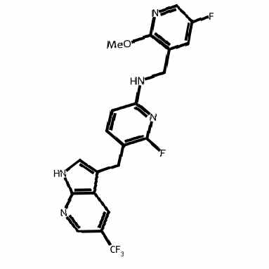 COc1ncc(F)cc1CNc1ccc(Cc2c[nH]c3ncc(C(F)(F)F)cc23)c(F)n1